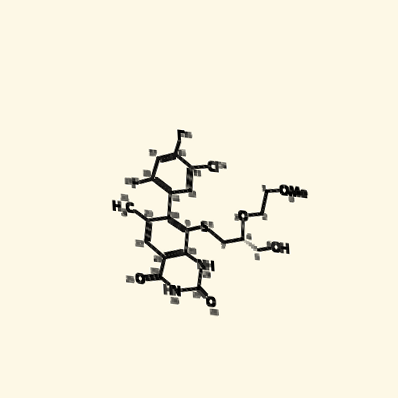 COCCO[C@H](CO)CSc1c(-c2cc(Cl)c(F)cc2F)c(C)cc2c(=O)[nH]c(=O)[nH]c12